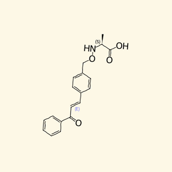 C[C@H](NOCc1ccc(/C=C/C(=O)c2ccccc2)cc1)C(=O)O